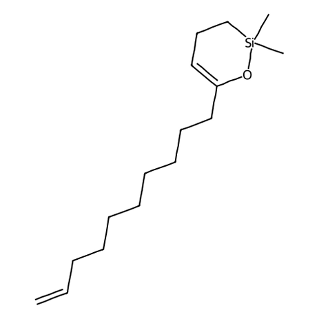 C=CCCCCCCCCC1=CCC[Si](C)(C)O1